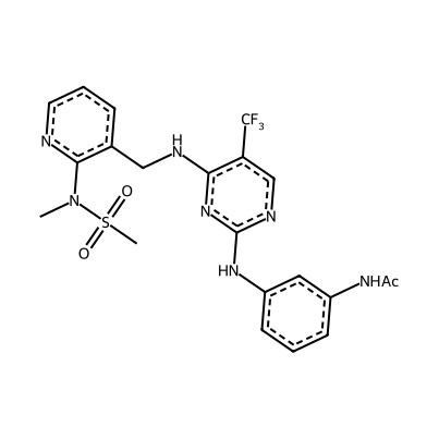 CC(=O)Nc1cccc(Nc2ncc(C(F)(F)F)c(NCc3cccnc3N(C)S(C)(=O)=O)n2)c1